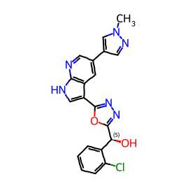 Cn1cc(-c2cnc3[nH]cc(-c4nnc([C@@H](O)c5ccccc5Cl)o4)c3c2)cn1